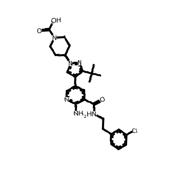 CC(C)(C)c1nn(C2CCN(C(=O)O)CC2)cc1-c1cnc(N)c(C(=O)NCCc2cccc(Cl)c2)c1